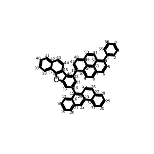 c1ccc(-c2ccc3ccc4c(-c5cc(-c6c7ccccc7cc7c6ccc6ccccc67)cc6oc7c8ccccc8ccc7c56)ccc5ccc2c3c54)cc1